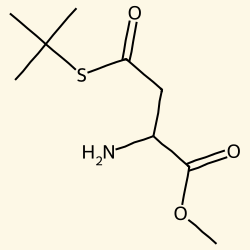 COC(=O)C(N)CC(=O)SC(C)(C)C